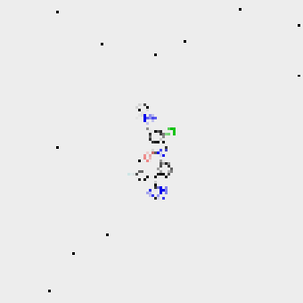 Cn1cnnc1[C@H](c1cccc(N2Cc3c(Cl)cc(CNC4(C)CCC4)cc3C2=O)c1)C1CC(F)C1